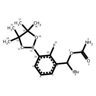 CC(C)(C)C(OC(N)=O)c1cccc(B2OC(C)(C)C(C)(C)O2)c1F